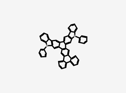 c1ccc(-n2c3ccccc3c3cc4c5cc6c7ccccc7n(-c7ccccc7)c6cc5c5cc6c7ccccc7c7ccccc7c6cc5c4cc32)cc1